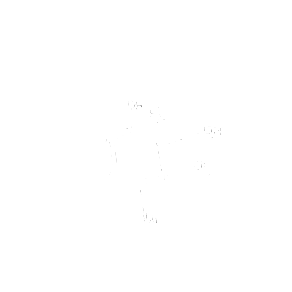 CCC(C)c1ccc(O)c(C(O)(C(F)(F)F)C(F)(F)F)c1